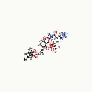 CC(C)(C)OC(=O)Oc1c(C2CC2B2OC3C[C@@H]4C[C@@H](C4(C)C)[C@]3(C)O2)ccc(OC2CN(C(=O)Cc3c[nH]cn3)C2)c1C(=O)OC(C)(C)C